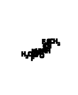 COc1ncc(NNC(=O)c2cnc(C)c(F)c2)cc1F